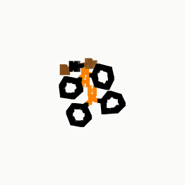 [Br][Ni][Br].c1ccc(Pc2ccccc2)cc1.c1ccc(Pc2ccccc2)cc1